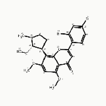 COc1cc(OC)c2c(=O)cc(-c3ccc(Br)cc3Br)oc2c1[C@@H]1CCN(C)[C@H]1CO